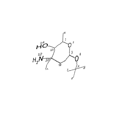 CC1OC(OC(C)(C)C)CC(C)(N)C1O